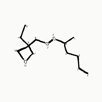 CCCCC(C)OOCC1(CC)COC1